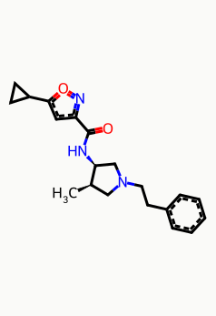 C[C@@H]1CN(CCc2ccccc2)C[C@@H]1NC(=O)c1cc(C2CC2)on1